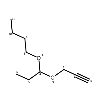 C#CCOC(CC)OCCCC